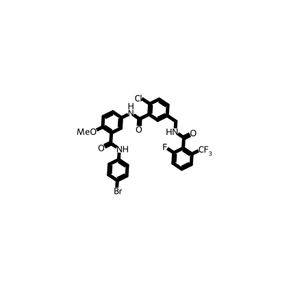 COc1ccc(NC(=O)c2cc(CNC(=O)c3c(F)cccc3C(F)(F)F)ccc2Cl)cc1C(=O)Nc1ccc(Br)cc1